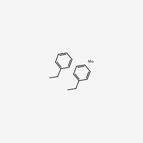 CCc1ccccc1.CCc1ccccc1.[Mo]